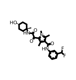 Cc1c(C(=O)Nc2cccc(C(F)F)c2)c(C)n(C)c1C(=O)C(=O)N[C@]1(C)CC[C@H](O)CC1